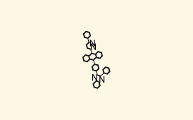 c1ccc(-c2ccc(-c3c4ccccc4c(-c4ccc(-c5nc6ccccc6nc5-c5ccccc5)cc4)c4ccccc34)nn2)cc1